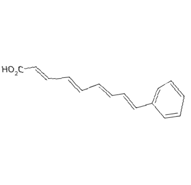 O=C(O)C=CC=CC=CC=Cc1ccccc1